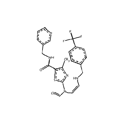 Cc1nc(N(C=O)/C=C\NCc2ccc(C(F)(F)F)cc2)sc1C(=O)NCc1cccnc1